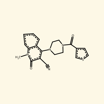 Cn1c(=O)c(C#N)c(N2CCN(C(=O)c3ccsc3)CC2)c2ccccc21